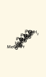 COC(=O)c1ccc(NC(=O)c2ccc(NC(=O)c3ccc(NC(=O)c4ccc(N)c(OC(C)C)n4)c(OC(C)C)n3)c(OC(C)C)n2)c(OC(C)C)n1